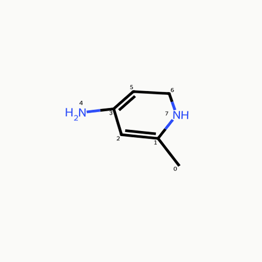 CC1=CC(N)=CCN1